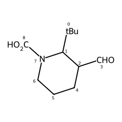 CC(C)(C)C1C(C=O)CCCN1C(=O)O